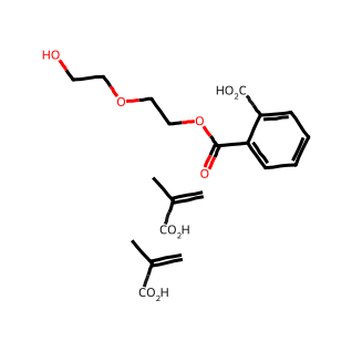 C=C(C)C(=O)O.C=C(C)C(=O)O.O=C(O)c1ccccc1C(=O)OCCOCCO